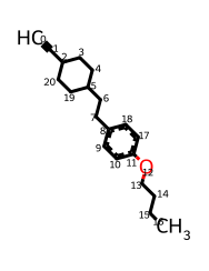 C#CC1CCC(CCc2ccc(OCCCC)cc2)CC1